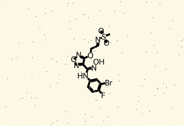 CS(=O)(=O)N=CCOc1nonc1C(=NO)Nc1ccc(F)c(Br)c1